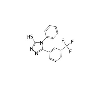 FC(F)(F)c1cccc(-c2nnc(S)n2-c2ccccc2)c1